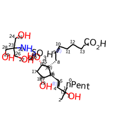 CCCCC[C@](C)(O)/C=C/[C@@H]1[C@@H](C/C=C\CCCC(=O)O)[C@@H](O)C[C@H]1O.CS(=O)(=O)O.NC(CO)(CO)CO